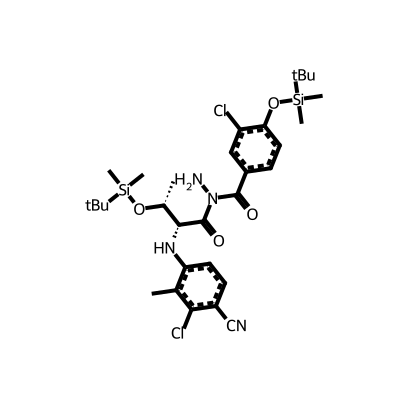 Cc1c(N[C@@H](C(=O)N(N)C(=O)c2ccc(O[Si](C)(C)C(C)(C)C)c(Cl)c2)[C@@H](C)O[Si](C)(C)C(C)(C)C)ccc(C#N)c1Cl